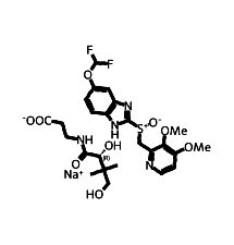 CC(C)(CO)[C@@H](O)C(=O)NCCC(=O)[O-].COc1ccnc(C[S+]([O-])c2nc3cc(OC(F)F)ccc3[nH]2)c1OC.[Na+]